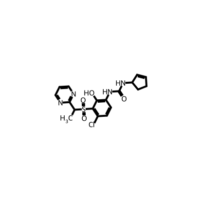 CC(c1ncccn1)S(=O)(=O)c1c(Cl)ccc(NC(=O)NC2C=CCC2)c1O